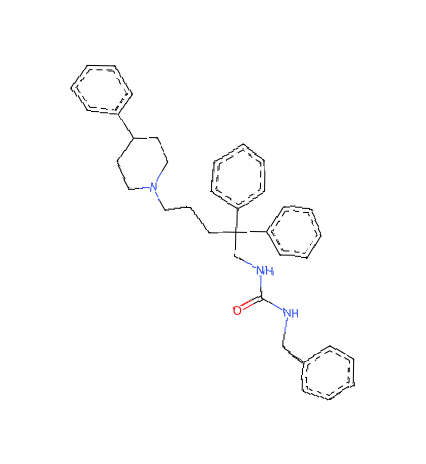 O=C(NCc1ccccc1)NCC(CCCN1CCC(c2ccccc2)CC1)(c1ccccc1)c1ccccc1